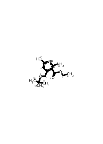 CCOC(=O)c1c(COC(C)(C)C)cc(O)nc1N